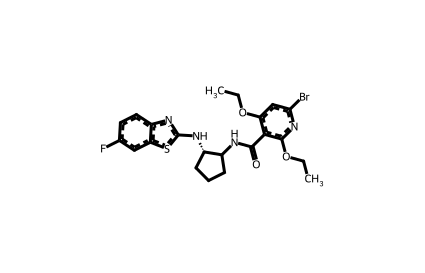 CCOc1cc(Br)nc(OCC)c1C(=O)NC1CCC[C@@H]1Nc1nc2ccc(F)cc2s1